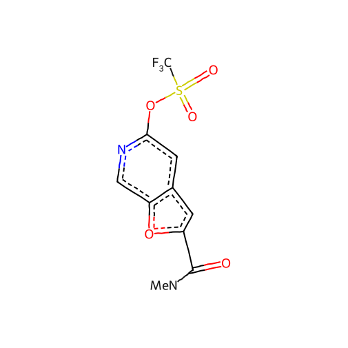 CNC(=O)c1cc2cc(OS(=O)(=O)C(F)(F)F)ncc2o1